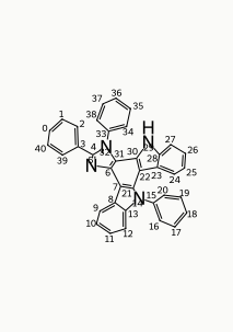 c1ccc(-c2nc3c4c5ccccc5n(-c5ccccc5)c4c4c5ccccc5[nH]c4c3n2-c2ccccc2)cc1